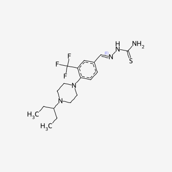 CCC(CC)N1CCN(c2ccc(/C=N/NC(N)=S)cc2C(F)(F)F)CC1